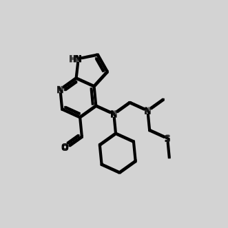 CSCN(C)CN(c1c(C=O)cnc2[nH]ccc12)C1CCCCC1